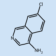 Nc1cncc2cc(Cl)ccc12